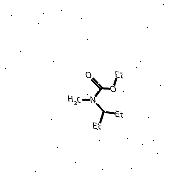 CCOC(=O)N(C)C(CC)CC